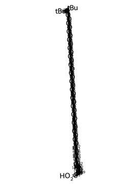 CC(C)(C)c1cc(COCCOCCOCCOCCOCCOCCOCCOCCOCCOCCOCCOCCOCCOCCOCCOCCOCCOCCOCCOCCOCCOCCOCCOCCOCCOCCOCCOCCOCCOCCOCCOCCOCCOCCOCCOCCOc2c(I)cc(Oc3c(I)cc(CC(=O)O)cc3I)cc2I)cc(C(C)(C)C)c1